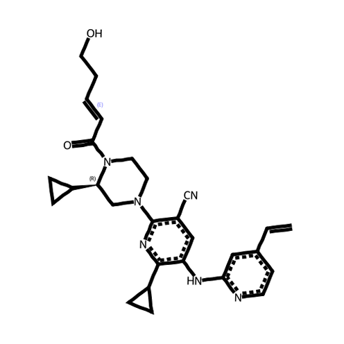 C=Cc1ccnc(Nc2cc(C#N)c(N3CCN(C(=O)/C=C/CCO)[C@H](C4CC4)C3)nc2C2CC2)c1